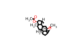 CO[C@@H]1C[C@@H]2[C@H](CC[C@]3(C)[C@@H](OC(C)=O)C[C@@H]4C[C@]423)[C@@]2(C)CCC3CC312